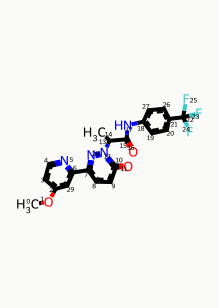 COc1ccnc(-c2ccc(=O)n(C(C)C(=O)Nc3ccc(C(F)(F)F)cc3)n2)c1